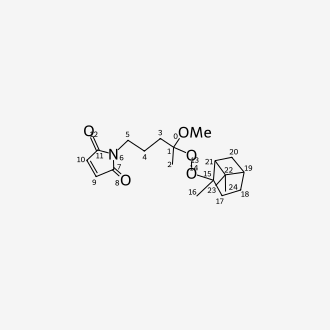 COC(C)(CCCN1C(=O)C=CC1=O)OOC1(C)CCC2CC1C2(C)C